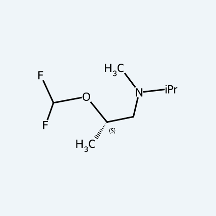 CC(C)N(C)C[C@H](C)OC(F)F